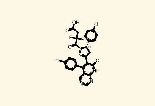 O=C(O)CC(F)(F)C(=O)N1N=C(c2c(-c3ccc(Cl)cc3)c3cncnc3[nH]c2=O)C[C@H]1c1ccc(Cl)cc1